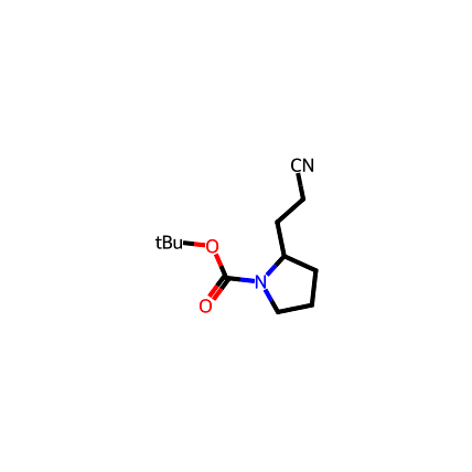 CC(C)(C)OC(=O)N1CCCC1CCC#N